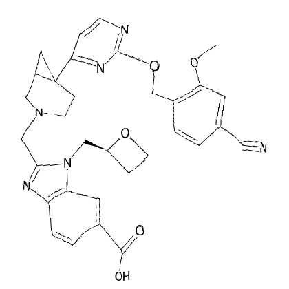 COc1cc(C#N)ccc1COc1nccc(C23CCN(Cc4nc5ccc(C(=O)O)cc5n4C[C@@H]4CCO4)CC2C3)n1